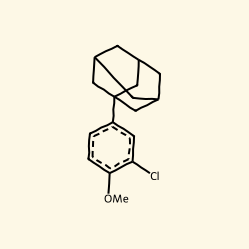 COc1ccc(C23CC4CC(CC(C4)C2)C3)cc1Cl